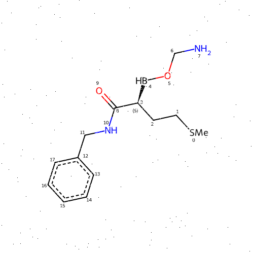 CSCC[C@H](BOCN)C(=O)NCc1ccccc1